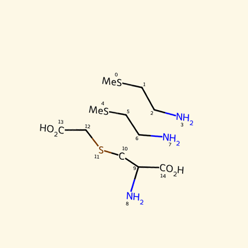 CSCCN.CSCCN.NC(CSCC(=O)O)C(=O)O